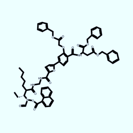 CCCCCC(C(=O)NCNC(=O)c1ccc(-c2ccc(C(=O)NC(CC(=O)OCc3ccccc3)C(=O)OCc3ccccc3)c(OCC(=O)OCc3ccccc3)c2)o1)[C@@H](CC)N(C=O)OC(=O)c1cccc2ccccc12